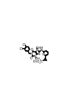 CCOC(=O)C1CC1c1cccc(Nc2nc3c(c(=O)n(Cc4ccc(Cl)c(Cl)c4)c(=O)n3C)n2C)n1